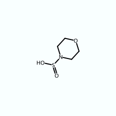 O=S(O)N1CCOCC1